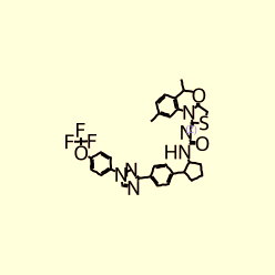 Cc1ccc(C(C)C)c(N2C(=O)CS/C2=N\C(=O)NC2CCCC2c2ccc(-c3ncn(-c4ccc(OC(F)(F)F)cc4)n3)cc2)c1